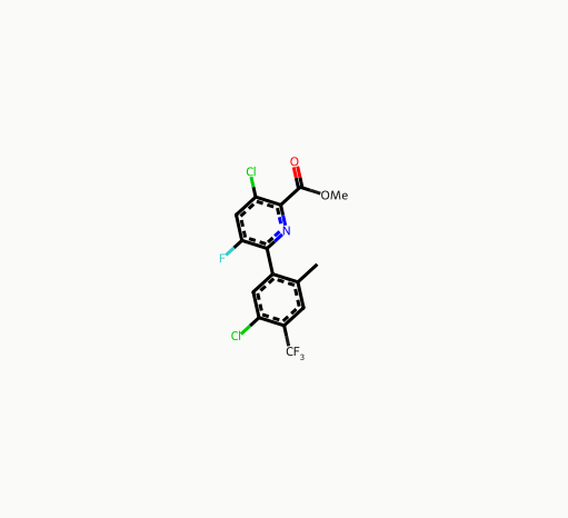 COC(=O)c1nc(-c2cc(Cl)c(C(F)(F)F)cc2C)c(F)cc1Cl